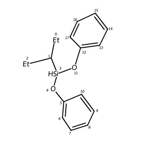 CCC(CC)[SiH](Oc1ccccc1)Oc1ccccc1